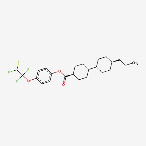 CCC[C@H]1CC[C@H]([C@H]2CC[C@H](C(=O)Oc3ccc(OC(F)(F)C(F)F)cc3)CC2)CC1